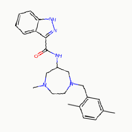 Cc1ccc(C)c(CN2CCN(C)CC(NC(=O)c3n[nH]c4ccccc34)C2)c1